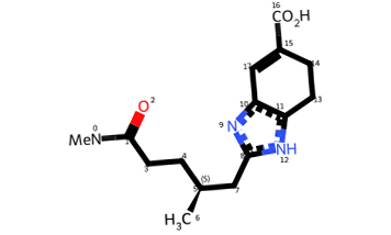 CNC(=O)CC[C@H](C)Cc1nc2c([nH]1)CCC(C(=O)O)=C2